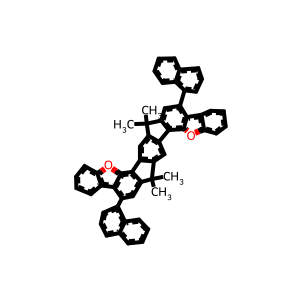 CC1(C)c2cc3c(cc2-c2c1cc(-c1cccc4ccccc14)c1c2oc2ccccc21)C(C)(C)c1cc(-c2cccc4ccccc24)c2c(oc4ccccc42)c1-3